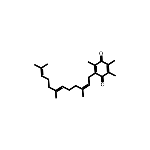 CC(C)=CCC/C(C)=C/CCC(C)=CCC1=C(C)C(=O)C(C)=C(C)C1=O